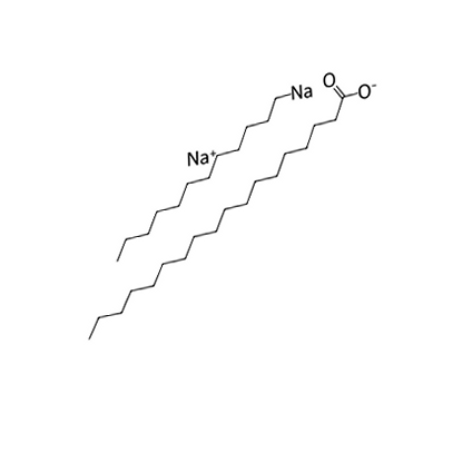 CCCCCCCCCCCCCCCCCC(=O)[O-].CCCCCCCCCCC[CH2][Na].[Na+]